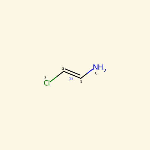 N/C=C/Cl